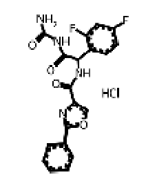 Cl.NC(=O)NC(=O)C(NC(=O)c1coc(-c2ccccc2)n1)c1ccc(F)cc1F